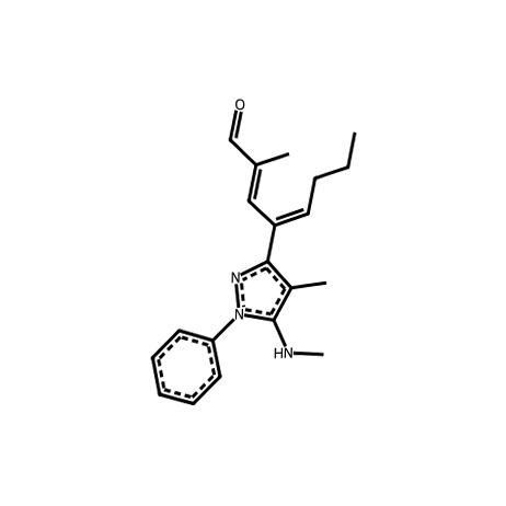 CCC/C=C(\C=C(/C)C=O)c1nn(-c2ccccc2)c(NC)c1C